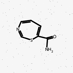 NC(=O)C1=CC=CN=CS1